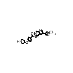 Cn1cc(-c2cnc3cnc(NC(=O)c4ccc(OC5CCNCC5)cc4)cc3c2)cn1